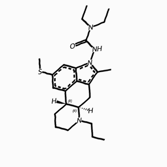 CCCN1CCC[C@@H]2c3cc(SC)cc4c3c(c(C)n4NC(=O)N(CC)CC)C[C@H]21